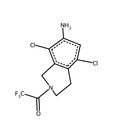 Nc1cc(Cl)c2c(c1Cl)CN(C(=O)C(F)(F)F)CC2